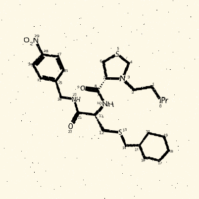 CC(C)CCN1CSC[C@H]1C(=O)N[C@@H](CSCC1CCCCC1)C(=O)NCc1ccc([N+](=O)[O-])cc1